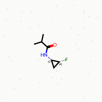 CC(C)C(=O)N[C@H]1C[C@H]1F